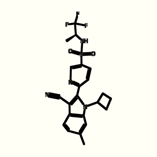 Cc1ccc2c(C#N)c(-c3ccc(S(=O)(=O)N[C@@H](C)C(F)(F)F)cn3)n(C3CCC3)c2c1